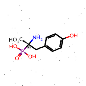 N[C@@](Cc1ccc(O)cc1)(C(=O)O)P(=O)(O)O